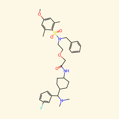 COc1cc(C)c(S(=O)(=O)N(CCOCC(=O)NC2CCC(C(c3cccc(F)c3)N(C)C)CC2)Cc2ccccc2)c(C)c1